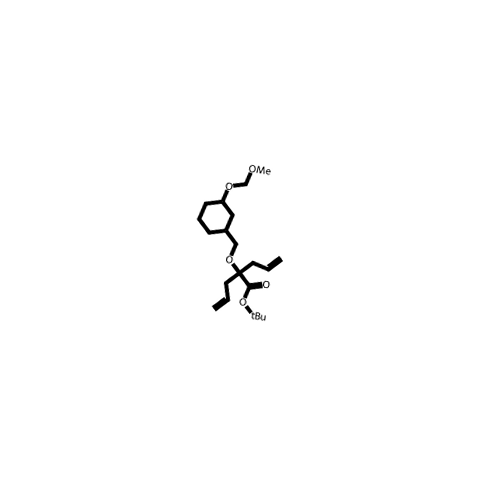 C=CCC(CC=C)(OCC1CCCC(OCOC)C1)C(=O)OC(C)(C)C